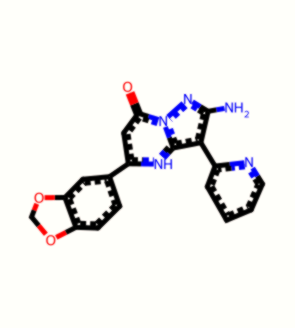 Nc1nn2c(=O)cc(-c3ccc4c(c3)OCO4)[nH]c2c1-c1ccccn1